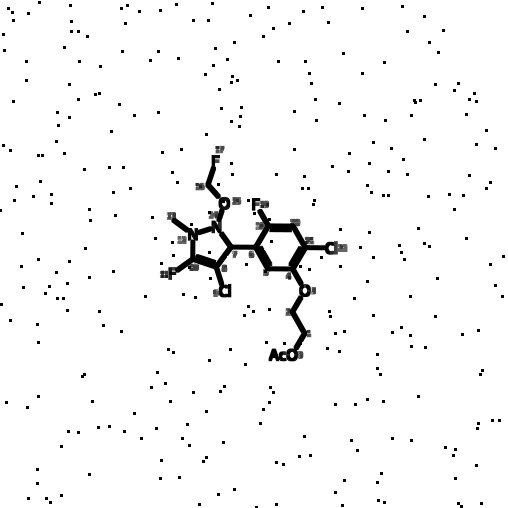 CC(=O)OCCOc1cc(C2C(Cl)=C(F)N(C)N2OCF)c(F)cc1Cl